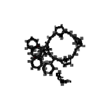 C1=Cc2cc3c(-c4ccccc4)c(-c4ccccc4)c(c(-c4ccccc4)c4nc(cc5ccc(cc1n2)[nH]5)C=C4)n3-c1ccccc1.[Cl-].[Cl-].[Mn+2]